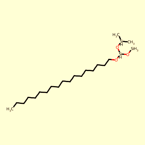 CCCCCCCCCCCCCCCCCCO[SiH](O[SiH3])O[SiH](C)C